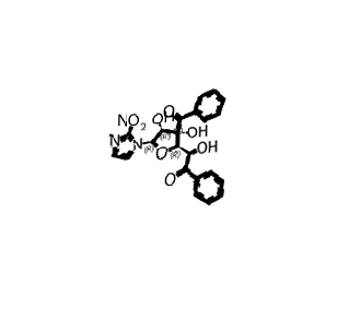 O=C(c1ccccc1)C(O)[C@H]1O[C@@H](n2ccnc2[N+](=O)[O-])[C@H](O)[C@@]1(O)C(=O)c1ccccc1